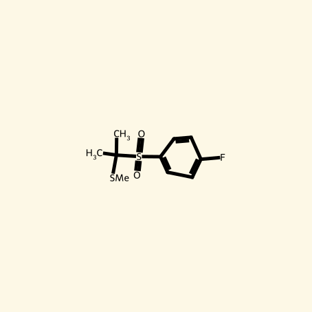 CSC(C)(C)S(=O)(=O)c1ccc(F)cc1